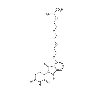 CC(OCCOCCOCCOc1cccc2c1C(=O)N(C1CCC(=O)NC1=O)C2=O)C(=O)O